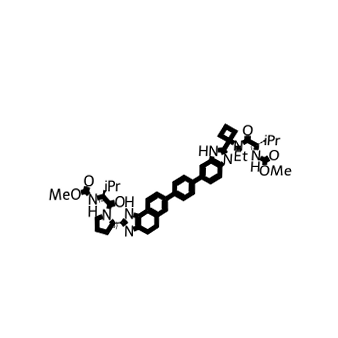 CCN(C(=O)[C@@H](NC(=O)OC)C(C)C)C1(c2nc3ccc(-c4ccc(-c5ccc6c(c5)CCc5nc([C@@H]7CCCN7C(=O)[C@@H](NC(=O)OC)C(C)C)[nH]c5-6)cc4)cc3[nH]2)CCC1